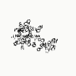 COC(=O)NC(C(=O)NN(Cc1ccc(-c2ccccn2)cc1)CC(O)C(Cc1ccccc1)NC(=O)C(OC(N)=O)C(C)(C)C)C(C)(C)C.CSC[C@H](NC(=O)COc1cccc2cnccc12)C(=O)N[C@@H](Cc1ccccc1)[C@H](O)C(=O)N1CSC[C@H]1C(=O)NC(C)(C)C.Cc1c(O)cccc1C(=O)N[C@@H](CSc1ccccc1)[C@H](O)CN1C[C@H]2CCCC[C@H]2C[C@H]1C(=O)NC(C)(C)C